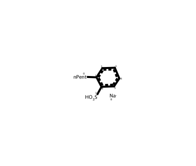 CCCCCc1ccccc1S(=O)(=O)O.[Na]